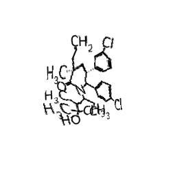 C=CC[C@@]1(C)C[C@H](c2cccc(Cl)c2)C(c2ccc(Cl)cc2)N(C(CC)C(C)C(C)(C)O)C1=O